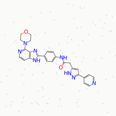 O=C(Cc1cc(-c2ccncc2)n[nH]1)Nc1ccc(-c2nc3c(N4CCOCC4)nccc3[nH]2)cc1